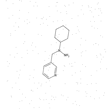 NN(Cc1cccnc1)C1CCCCC1